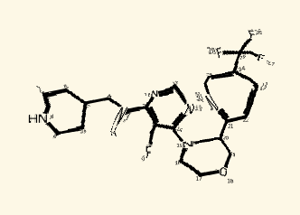 Fc1c(NCC2CCNCC2)ncnc1N1CCOCC1c1ccc(C(F)(F)F)cn1